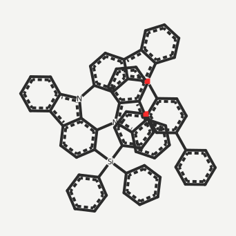 c1ccc(-c2ccc(-n3c4ccccc4c4ccc(-n5c6ccccc6c6ccc([Si](c7ccccc7)(c7ccccc7)c7ccccc7)c(-n7c8ccccc8c8ccccc87)c65)cc43)cc2)cc1